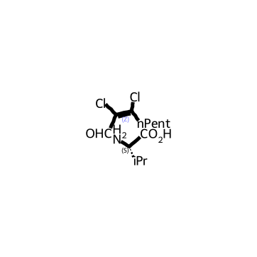 CC(C)[C@H](N)C(=O)O.CCCCC/C(Cl)=C(/Cl)C=O